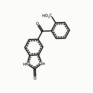 O=C(O)c1ccccc1C(=O)c1ccc2[nH]c(=O)[se]c2c1